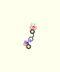 FC1(F)Oc2ccc(CC3CCN(c4noc5ccccc45)CC3)cc2O1